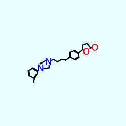 Cc1cccc(N2CCN(CCCCc3ccc(C4CCC(=O)O4)cc3)CC2)c1